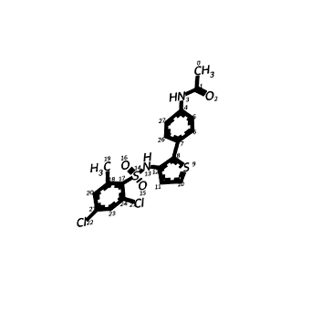 CC(=O)Nc1ccc(-c2sccc2NS(=O)(=O)c2c(C)cc(Cl)cc2Cl)cc1